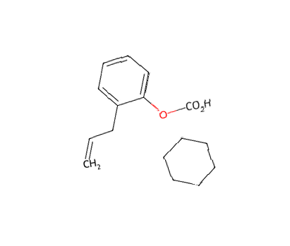 C1CCCCC1.C=CCc1ccccc1OC(=O)O